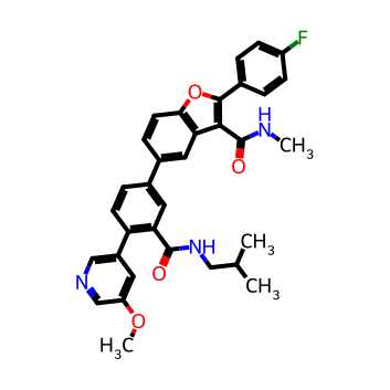 CNC(=O)c1c(-c2ccc(F)cc2)oc2ccc(-c3ccc(-c4cncc(OC)c4)c(C(=O)NCC(C)C)c3)cc12